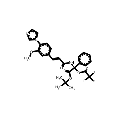 COc1cc(/C=C/C(=O)N[C@@](OC(=O)C(F)(F)F)(C(=O)OC(C)(C)C)c2ccccc2)ccc1-n1ccnc1